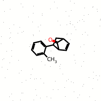 Cc1ccccc1C1CC2C=CC1C2=O